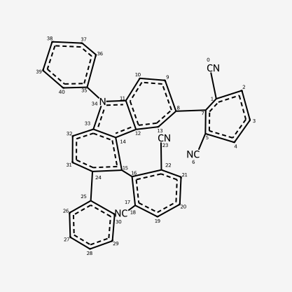 N#Cc1cccc(C#N)c1-c1ccc2c(c1)c1c(-c3c(C#N)cccc3C#N)c(-c3ccccc3)ccc1n2-c1ccccc1